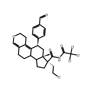 C[C@]12C[C@H](c3ccc(C=O)cc3)C3=C4CCOC=C4CCC3C1CC[C@]2(CCCl)C(=O)NC(=O)C(Cl)(Cl)Cl